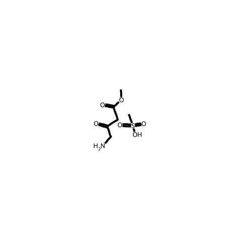 COC(=O)CC(=O)CN.CS(=O)(=O)O